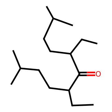 CCC(CCC(C)C)C(=O)C(CC)CCC(C)C